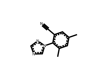 Cc1cc(C)c(-n2cncn2)c(C#N)c1